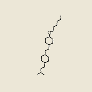 CCCCCCOC1CCC(CCC2CCC(CCC(C)C)CC2)CC1